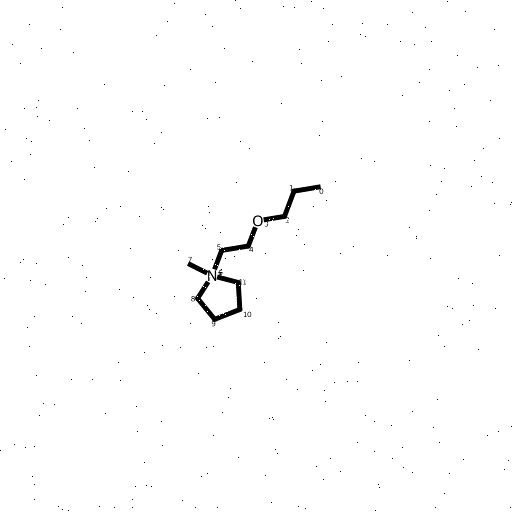 CCCOCC[N+]1(C)CCCC1